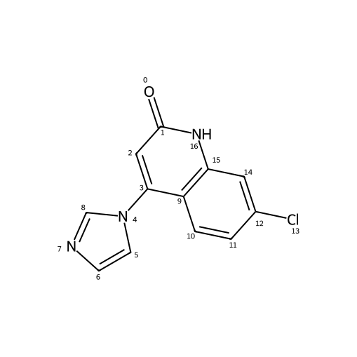 O=c1cc(-n2ccnc2)c2ccc(Cl)cc2[nH]1